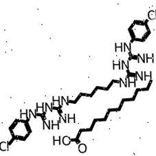 CCCCCCCCCCCC(=O)O.N=C(NCCCCCCNC(=N)NC(=N)Nc1ccc(Cl)cc1)NC(=N)Nc1ccc(Cl)cc1